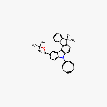 CC1(C)c2ccccc2-c2c1ccc1c2c2cc(BOC(C)(C)C(C)(C)C)ccc2n1C1=C/CC#CC/C=C\1